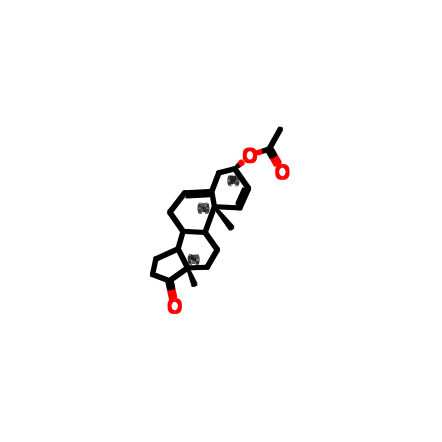 CC(=O)O[C@H]1C=C[C@@]2(C)C(=CCC3C2CC[C@]2(C)C(=O)CCC32)C1